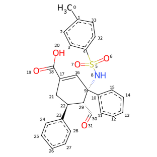 Cc1ccc(S(=O)(=O)N[C@@]2(c3ccccc3)C=C(C(=O)O)C[C@H](c3ccccc3)[C@H]2C=O)cc1